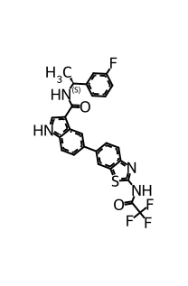 C[C@H](NC(=O)c1c[nH]c2ccc(-c3ccc4nc(NC(=O)C(F)(F)F)sc4c3)cc12)c1cccc(F)c1